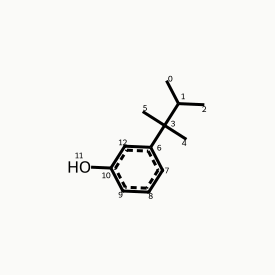 CC(C)C(C)(C)c1cccc(O)c1